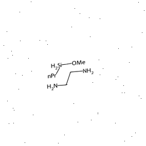 CCC[SiH2]OC.NCCN